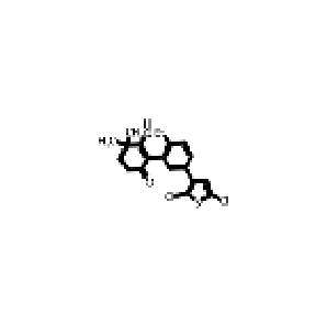 CCc1ccc(-c2cc(Cl)sc2Cl)cc1C1=C(O)C(C)(C)CCC1=O